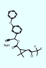 CC1(C)C(/C=C(\Cl)C(F)(F)F)C1C(=O)OC(C#N)c1cccc(Oc2ccccc2)c1.[NaH]